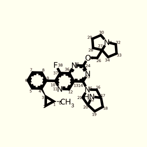 C[C@@H]1C[C@H]1c1ccccc1-c1ncc2c(N3CC4CCC(C3)N4)nc(OCC34CCCN3CCC4)nc2c1F